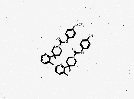 Cc1cccnc1C1(F)CCN(C(=O)Nc2ccc(C#N)cc2)CC1.Cc1cccnc1C1(F)CCN(C(=O)Nc2ccc(OC(F)(F)F)cc2)CC1